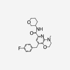 CN1CCOc2c(Cc3ccc(F)cc3)cc(C(=O)NC3CCCOC3)nc21